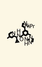 Cc1ccnc([C@H](NC(=O)c2cc(Cn3ccn(C)c3=N)cc(-c3ccnn3C(C)C)c2)C2CC2)c1